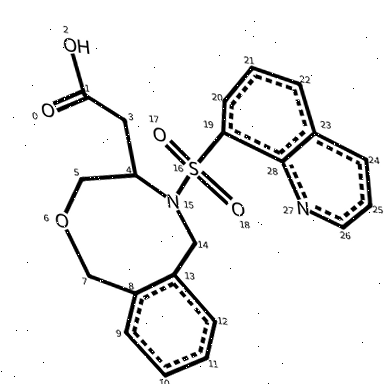 O=C(O)CC1COCc2ccccc2CN1S(=O)(=O)c1cccc2cccnc12